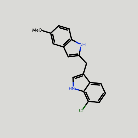 COc1ccc2[nH]c(Cc3c[nH]c4c(Cl)cccc34)cc2c1